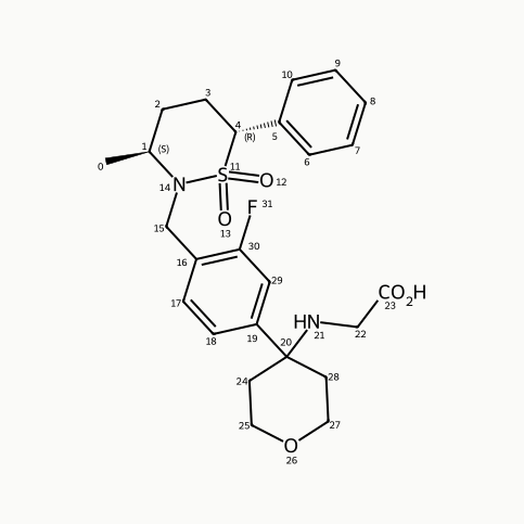 C[C@H]1CC[C@H](c2ccccc2)S(=O)(=O)N1Cc1ccc(C2(NCC(=O)O)CCOCC2)cc1F